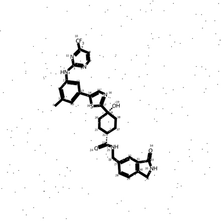 Cc1cc(Nc2nccc(C(F)(F)F)n2)cc(-c2cnc([C@]3(O)CC[C@@H](C(=O)NCc4ccc5c(c4)C(=O)NC5)CC3)s2)c1